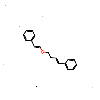 C(=Cc1ccccc1)CCOC=Cc1ccccc1